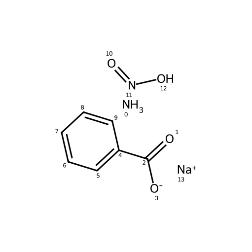 N.O=C([O-])c1ccccc1.O=NO.[Na+]